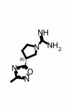 Cc1noc([C@@H]2CCN(C(=N)N)C2)n1